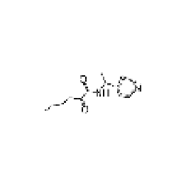 CCCCC(=O)C(=O)NC(C)c1ccncc1